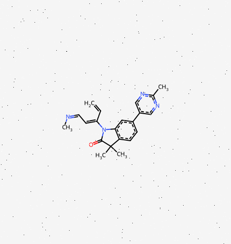 C=C/C(=C\C=N/C)N1C(=O)C(C)(C)c2ccc(-c3cnc(C)nc3)cc21